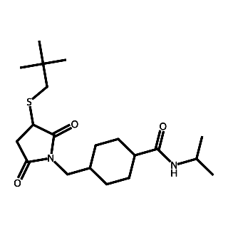 CC(C)NC(=O)C1CCC(CN2C(=O)CC(SCC(C)(C)C)C2=O)CC1